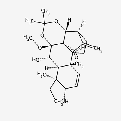 C=C1C(=O)[C@@]23[C@@H]4OC(C)(C)O[C@@]2(OC)[C@@H](O)[C@H]2[C@@](C)(C=C[C@H](O)[C@@]2(C)CC)[C@@H]3CC[C@@H]14